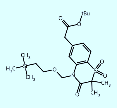 CC(C)(C)OC(=O)Cc1ccc2c(c1)N(COCC[Si](C)(C)C)C(=O)C(C)(C)S2(=O)=O